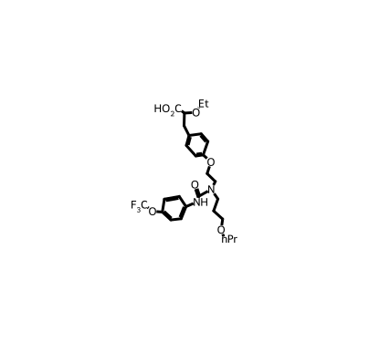 CCCOCCCN(CCOc1ccc(CC(OCC)C(=O)O)cc1)C(=O)Nc1ccc(OC(F)(F)F)cc1